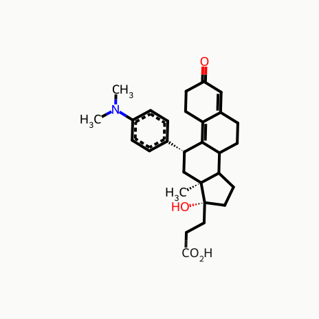 CN(C)c1ccc([C@H]2C[C@@]3(C)C(CC[C@@]3(O)CCC(=O)O)C3CCC4=CC(=O)CCC4=C32)cc1